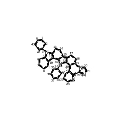 c1ccc(-n2c3ccccc3c3c2ccc2c4ccc5c(c6cccnc6c6nccn56)c4n(-c4ccccc4)c23)cc1